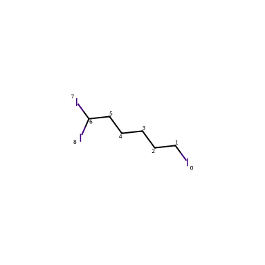 ICCCCCC(I)I